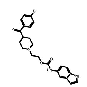 O=C(Nc1ccc2[nH]ccc2c1)OCCN1CCC(C(=O)c2ccc(Br)cc2)CC1